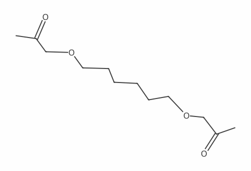 CC(=O)COCCCCCCOCC(C)=O